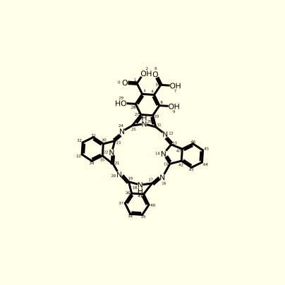 O=C(O)c1c(C(=O)O)c(O)c2c3nc4nc(nc5[nH]c(nc6nc(nc([nH]3)c2c1O)-c1ccccc1-6)c1ccccc51)-c1ccccc1-4